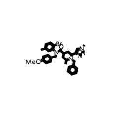 COc1ccc(CN(C(=O)C2CC(C)N(Cc3ccccc3)C(c3cn(C)nn3)C2)c2cc(C)ccc2Br)cc1